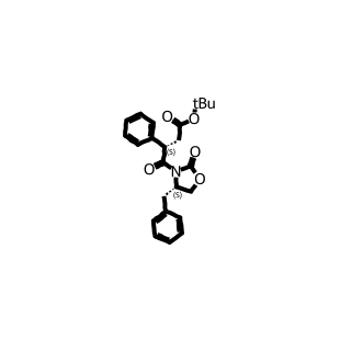 CC(C)(C)OC(=O)C[C@H](C(=O)N1C(=O)OC[C@@H]1Cc1ccccc1)c1ccccc1